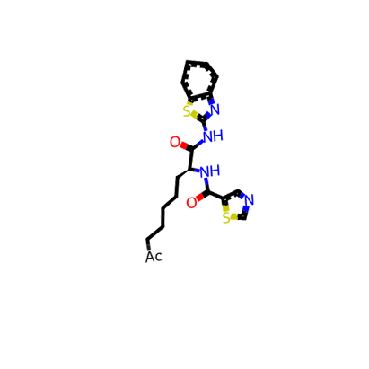 CC(=O)CCCCC[C@H](NC(=O)c1cncs1)C(=O)Nc1nc2ccccc2s1